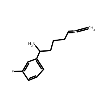 C=C=CCCCC(N)c1cccc(F)c1